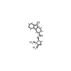 CCn1c2ccccc2c2cc(NN=C3C=NN(N)C3N)ccc21